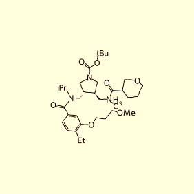 CCc1ccc(C(=O)N(C[C@@H]2CN(C(=O)OC(C)(C)C)C[C@H]2CN(C)C(=O)[C@@H]2CCCOC2)C(C)C)cc1OCCCOC